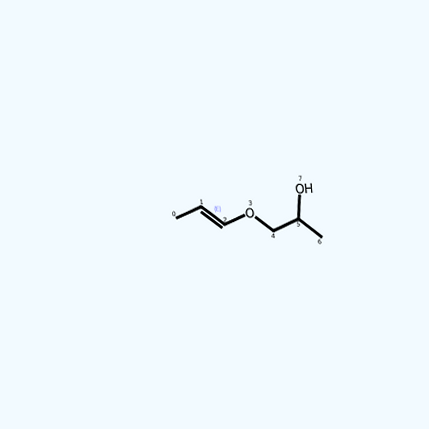 C/C=C/OCC(C)O